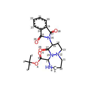 CC(C)(C)OC(=O)C1NCCCN2CCC(N3C(=O)c4ccccc4C3=O)C(=O)N12